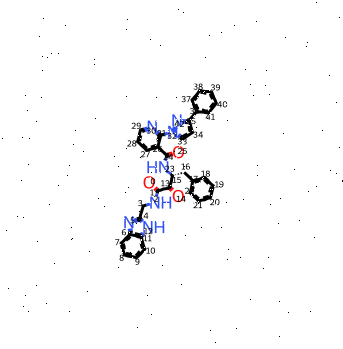 O=C(NCc1nc2ccccc2[nH]1)C(=O)[C@@H](Cc1ccccc1)NC(=O)c1cccnc1-n1ccc(-c2ccccc2)n1